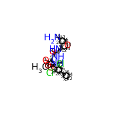 COC(=O)[C@H](CNC(=O)CNC1CCOc2ccc(N)cc21)NC(=O)c1c(Cl)cc(-c2ccccc2)cc1Cl